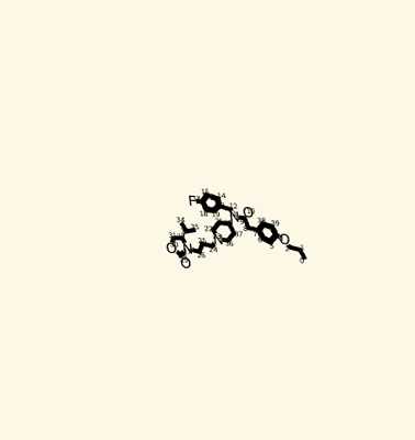 CCCOc1ccc(CC(=O)N(Cc2ccc(F)cc2)C2CCN(CCCN3C(=O)OC[C@@H]3C(C)C)CC2)cc1